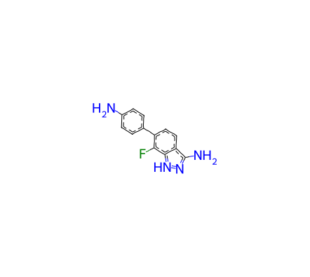 Nc1ccc(-c2ccc3c(N)n[nH]c3c2F)cc1